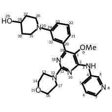 COc1c(Nc2cccnc2)nc(N2CCOCC2)nc1-c1cccc(N2CCC(O)CC2)c1